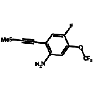 CSC#Cc1cc(F)c(OC(F)(F)F)cc1N